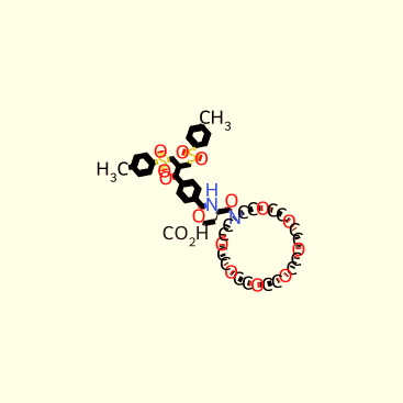 Cc1ccc(S(=O)(=O)CC(CS(=O)(=O)c2ccc(C)cc2)C(=O)c2ccc(C(=O)N[C@@H](CCC(=O)O)C(=O)N3CCOCCOCCOCCOCCOCCOCCOCC3)cc2)cc1